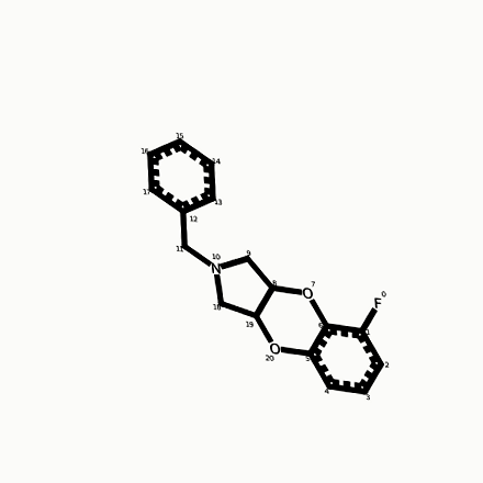 Fc1cccc2c1OC1CN(Cc3ccccc3)CC1O2